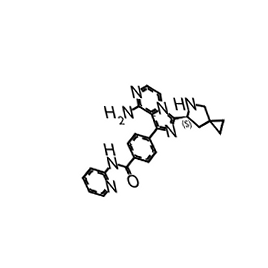 Nc1nccn2c([C@@H]3CC4(CC4)CN3)nc(-c3ccc(C(=O)Nc4ccccn4)cc3)c12